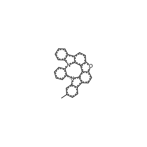 Cc1ccc2c3ccc4oc5ccc6c7ccccc7n7c8ccccc8n(c2c1)c3c4c5c67